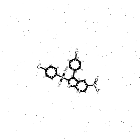 O=[N+]([O-])c1cnc2sc(S(=O)(=O)c3ccc(Cl)cc3)c(-c3ccc(Cl)cc3)c2c1